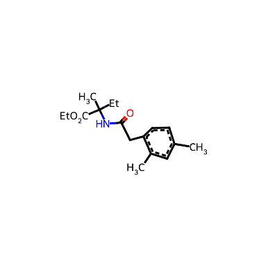 CCOC(=O)C(C)(CC)NC(=O)Cc1ccc(C)cc1C